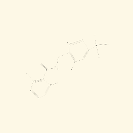 CN(Cc1ncc(C(F)(F)F)cc1Cl)C(=O)c1c(Cl)cccc1Cl